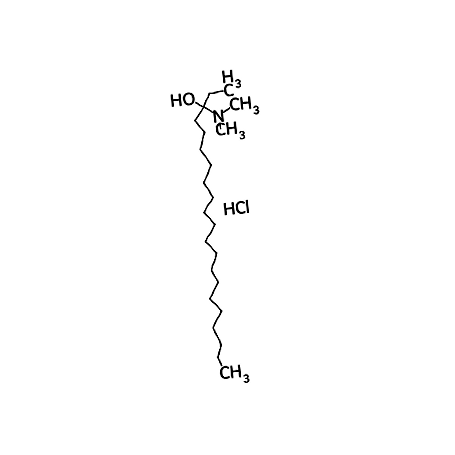 CCCCCCCCCCCCCCCCCCC(O)(CC)N(C)C.Cl